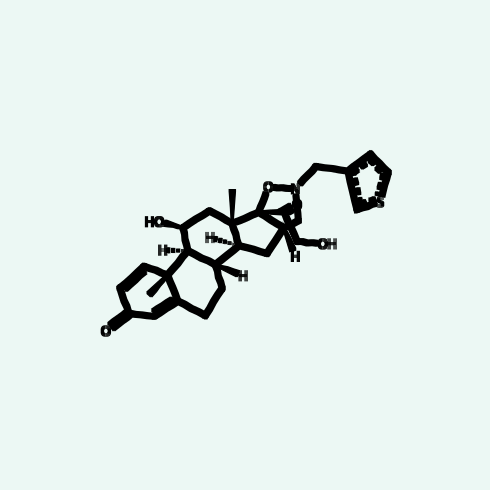 C[C@]12C=CC(=O)C=C1CC[C@@H]1[C@@H]2[C@@H](O)C[C@@]2(C)[C@H]1C[C@H]1CN(Cc3ccsc3)O[C@]12C(=O)CO